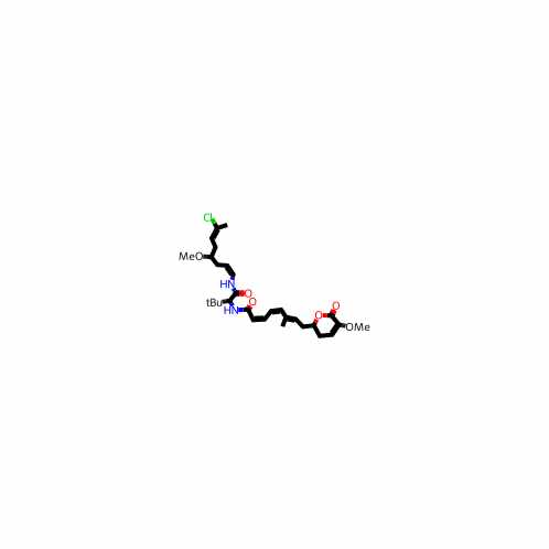 COC1=CCC(C/C=C(C)/C=C\C=C/C(=O)NC(C(=O)N/C=C\CC(C/C=C(\C)Cl)OC)C(C)(C)C)OC1=O